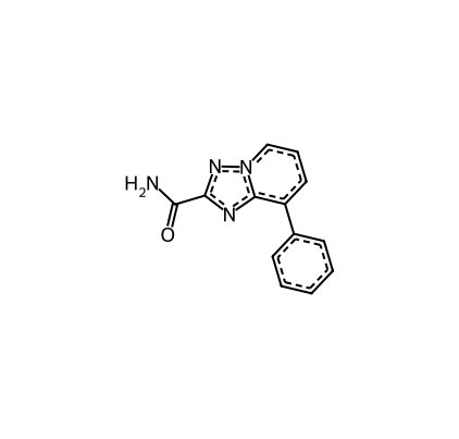 NC(=O)c1nc2c(-c3ccccc3)cccn2n1